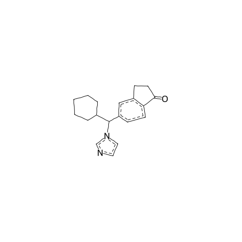 O=C1CCc2cc(C(C3CCCCC3)n3ccnc3)ccc21